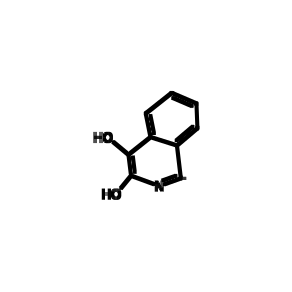 Oc1n[c]c2ccccc2c1O